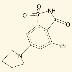 CC(C)c1cc(N2CCCC2)cc2c1C(=O)NS2(=O)=O